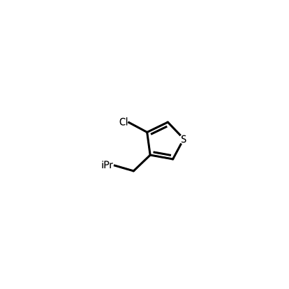 CC(C)Cc1cscc1Cl